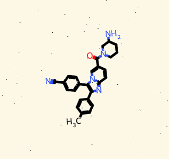 Cc1ccc(-c2nc3ccc(C(=O)N4CCCC(N)C4)cn3c2-c2ccc(C#N)cc2)cc1